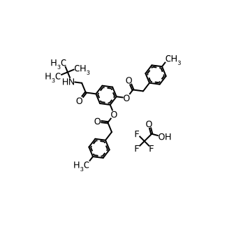 Cc1ccc(CC(=O)Oc2ccc(C(=O)CNC(C)(C)C)cc2OC(=O)Cc2ccc(C)cc2)cc1.O=C(O)C(F)(F)F